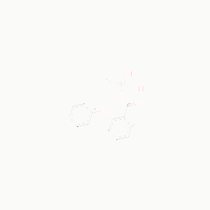 O=C(OP(=O)(O)O)c1ccccc1Oc1ccccc1